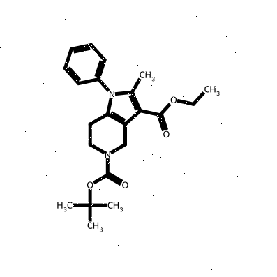 CCOC(=O)c1c2c(n(-c3ccccc3)c1C)CCN(C(=O)OC(C)(C)C)C2